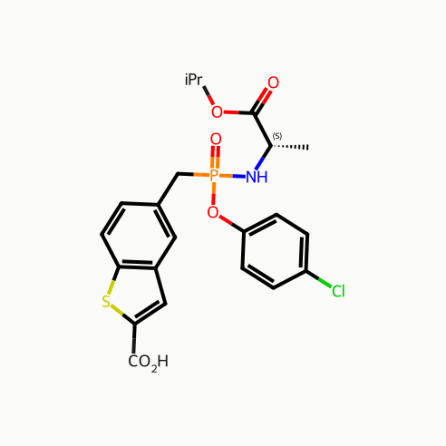 CC(C)OC(=O)[C@H](C)NP(=O)(Cc1ccc2sc(C(=O)O)cc2c1)Oc1ccc(Cl)cc1